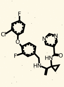 C=C(NCc1ccc(Oc2ccc(F)cc2Cl)c(F)c1)C1(NC(=O)c2cncnc2)CC1